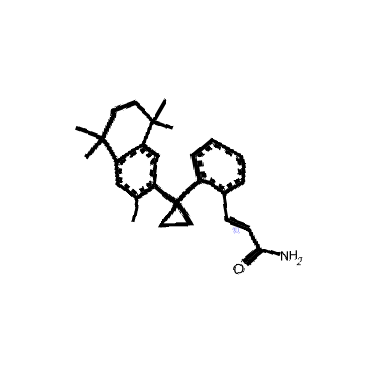 Cc1cc2c(cc1C1(c3ccccc3/C=C/C(N)=O)CC1)C(C)(C)CCC2(C)C